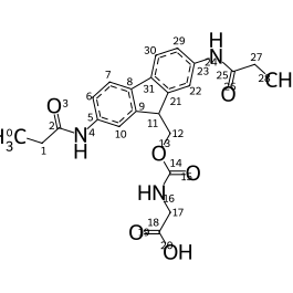 CCC(=O)Nc1ccc2c(c1)C(COC(=O)NCC(=O)O)c1cc(NC(=O)CC)ccc1-2